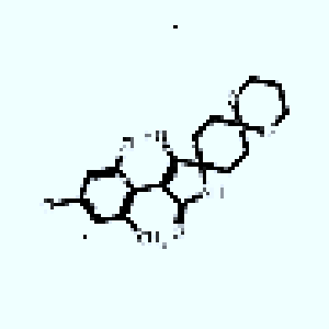 Cc1cc(Cl)cc(Cl)c1C1=C(O)C2(CCC3(CC2)OCCCO3)NC1=O